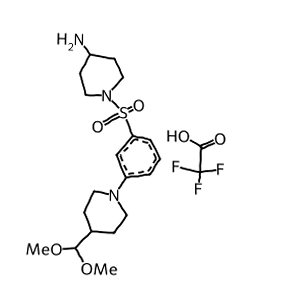 COC(OC)C1CCN(c2cccc(S(=O)(=O)N3CCC(N)CC3)c2)CC1.O=C(O)C(F)(F)F